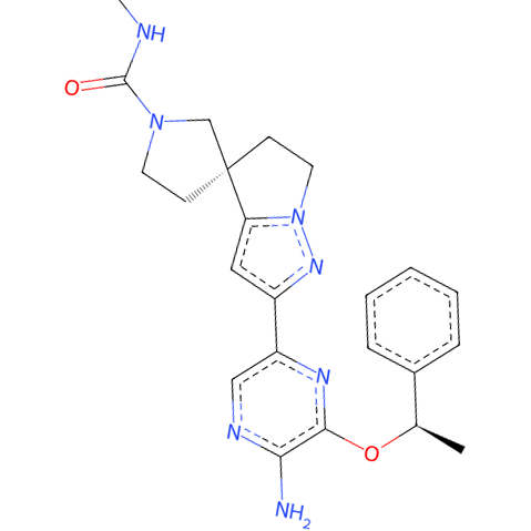 CCNC(=O)N1CC[C@@]2(CCn3nc(-c4cnc(N)c(O[C@H](C)c5ccccc5)n4)cc32)C1